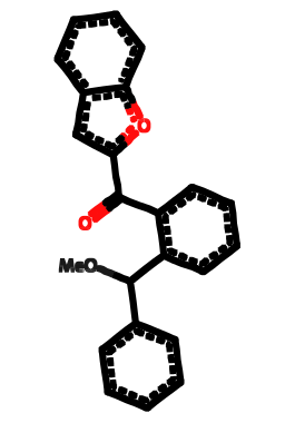 COC(c1ccccc1)c1ccccc1C(=O)c1cc2ccccc2o1